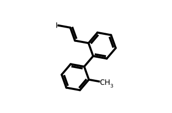 Cc1ccccc1-c1ccccc1C=CI